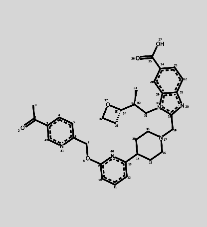 CC(=O)c1ccc(COc2cccc(C3CCN(Cc4nc5ccc(C(=O)O)cc5n4C[C@H](C)[C@@H]4CCO4)CC3)n2)nc1